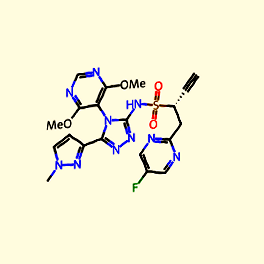 C#C[C@H](Cc1ncc(F)cn1)S(=O)(=O)Nc1nnc(-c2ccn(C)n2)n1-c1c(OC)ncnc1OC